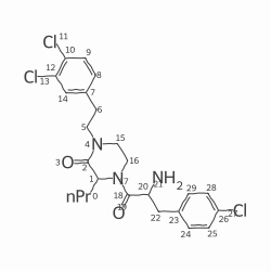 CCCC1C(=O)N(CCc2ccc(Cl)c(Cl)c2)CCN1C(=O)C(N)Cc1ccc(Cl)cc1